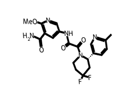 COc1ncc(NC(=O)C(=O)N2CCC(F)(F)C[C@H]2c2ccc(C)nc2)cc1C(N)=O